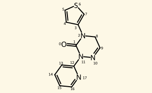 O=C1N(c2ccsc2)CC=NN1c1ccccn1